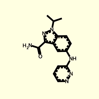 CC(C)n1nc(C(N)=O)c2cc(Nc3cccnn3)ccc21